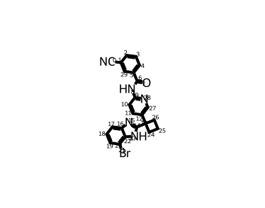 N#Cc1cccc(C(=O)Nc2ccc(C3(c4nc5cccc(Br)c5[nH]4)CCC3)cn2)c1